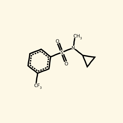 CN(C1CC1)S(=O)(=O)c1cccc(C(F)(F)F)c1